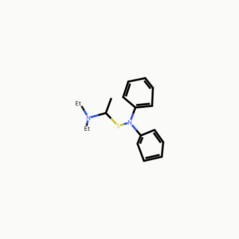 CCN(CC)C(C)SN(c1ccccc1)c1ccccc1